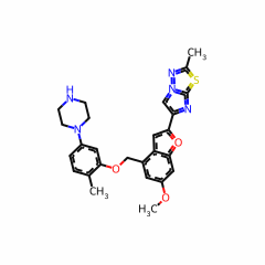 COc1cc(COc2cc(N3CCNCC3)ccc2C)c2cc(-c3cn4nc(C)sc4n3)oc2c1